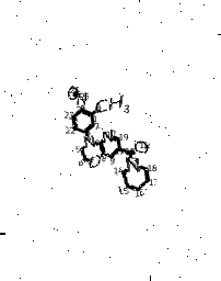 Cc1cc(N2CCOc3cc(C(=O)N4CCCCC4)cnc32)ccc1N=O